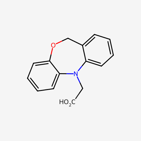 O=C(O)CN1c2ccccc2COc2ccccc21